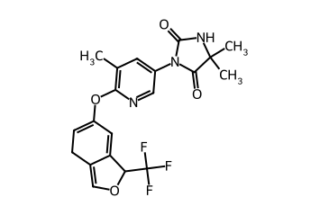 Cc1cc(N2C(=O)NC(C)(C)C2=O)cnc1OC1=CCC2=COC(C(F)(F)F)C2=C1